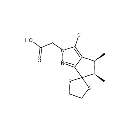 C[C@@H]1c2c(nn(CC(=O)O)c2Cl)C2(SCCS2)[C@@H]1C